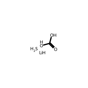 O=C(O)O.S.[LiH]